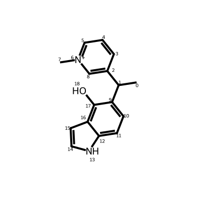 CC(c1ccc[n+](C)c1)c1ccc2[nH]ccc2c1O